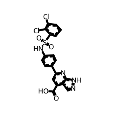 O=C(O)c1cc(-c2ccc(NS(=O)(=O)c3cccc(Cl)c3Cl)cc2)nc2[nH]ncc12